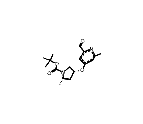 Cc1cc(O[C@@H]2C[C@H](C)N(C(=O)OC(C)(C)C)C2)cc(C=O)n1